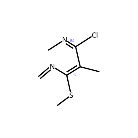 C=N/C(SC)=C(C)\C(Cl)=N/C